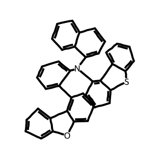 c1ccc(N(c2cccc3ccccc23)c2cccc3sc4ccccc4c23)c(-c2cccc3oc4ccccc4c23)c1